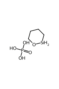 C1CC[SiH2]OC1.O=P(O)(O)O